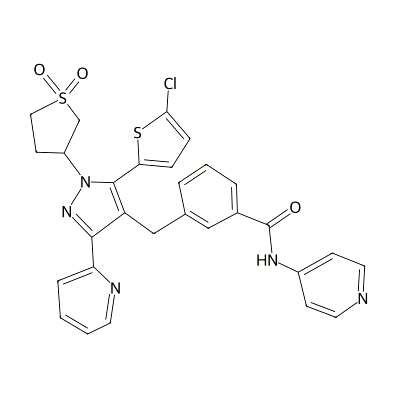 O=C(Nc1ccncc1)c1cccc(Cc2c(-c3ccccn3)nn(C3CCS(=O)(=O)C3)c2-c2ccc(Cl)s2)c1